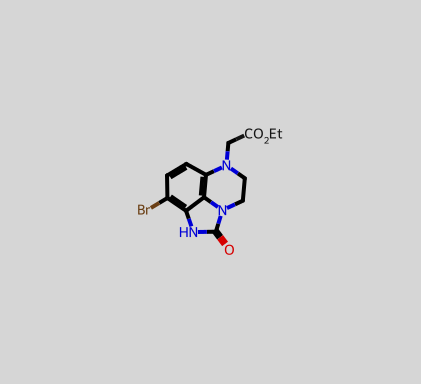 CCOC(=O)CN1CCn2c(=O)[nH]c3c(Br)ccc1c32